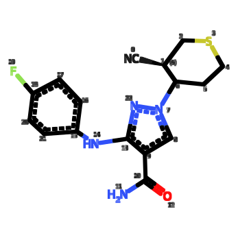 N#C[C@H]1CSCCC1n1cc(C(N)=O)c(Nc2ccc(F)cc2)n1